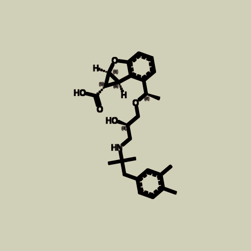 Cc1ccc(CC(C)(C)NC[C@@H](O)CO[C@H](C)c2cccc3c2[C@@H]2[C@H](O3)[C@H]2C(=O)O)cc1C